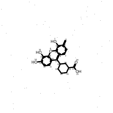 C=c1ccc2c(c1O)Oc1c(ccc(O)c1O)C=2C1CCCC(C(=O)O)C1